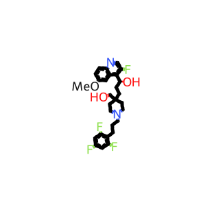 COc1ccc2ncc(F)c([C@@H](O)CCC3(CO)CCN(CCCc4c(F)cc(F)cc4F)CC3)c2c1